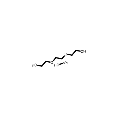 CCCO.OCCOCCOCCO